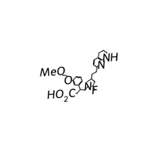 COCCOc1cccc(C(CC(=O)O)CN2CC(CCc3ccc4c(n3)NCCC4)CC2F)c1